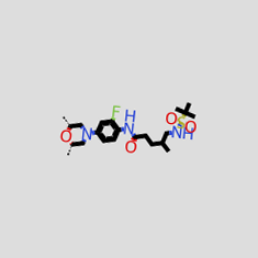 CC(CCC(=O)Nc1ccc(N2C[C@@H](C)O[C@@H](C)C2)cc1F)CNS(=O)(=O)C(C)(C)C